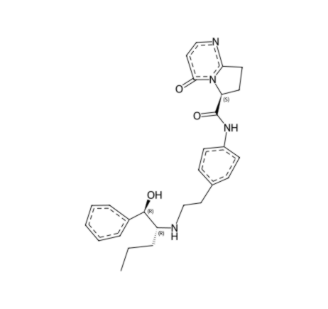 CCC[C@@H](NCCc1ccc(NC(=O)[C@@H]2CCc3nccc(=O)n32)cc1)[C@H](O)c1ccccc1